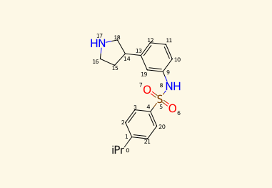 CC(C)c1ccc(S(=O)(=O)Nc2cccc(C3CCNC3)c2)cc1